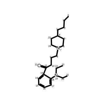 CCCCC1CCN(CCCC(=O)c2ccccc2N(CC)CC)CC1